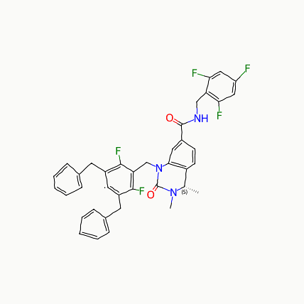 C[C@H]1c2ccc(C(=O)NCc3c(F)cc(F)cc3F)cc2N(Cc2c(F)c(Cc3ccccc3)[c]c(Cc3ccccc3)c2F)C(=O)N1C